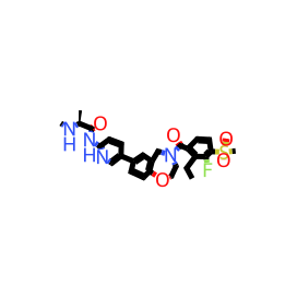 CCc1c(C(=O)N2CCOc3ccc(-c4ccc(NC(=O)[C@H](C)NC)nc4)cc3C2)ccc(S(C)(=O)=O)c1F